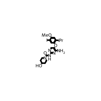 COc1cc(C(C)C)c(Oc2cnc(NC(=O)N3CCC(O)CC3)nc2N)cc1I